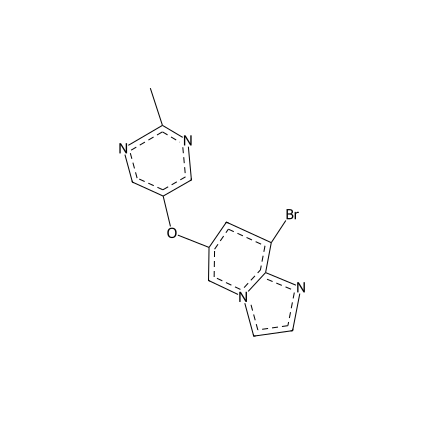 Cc1ncc(Oc2cc(Br)c3nccn3c2)cn1